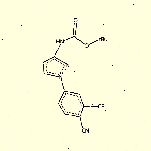 CC(C)(C)OC(=O)Nc1ccn(-c2ccc(C#N)c(C(F)(F)F)c2)n1